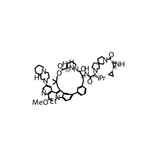 CCn1c(-c2cc(N3CCN4CCCC[C@@H]4C3)cnc2[C@H](C)OC)c2c3cc(ccc31)-c1cccc(c1)C[C@H](NC(=O)[C@H](C(C)C)N1CC[C@]3(CCN(C(=O)[C@@H]4N[C@@H]4C4CC4)C3)C1)C(=O)N1CCC[C@H](N1)C(=O)OCC(C)(C)C2